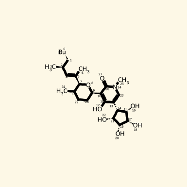 CC[C@@H](C)C[C@H](C)/C=C(\C)[C@H]1O[C@@H](c2c(O)c([C@@H]3[C@H](O)[C@H](O)[C@H](O)[C@@H]3O)cn(C)c2=O)CCC1C